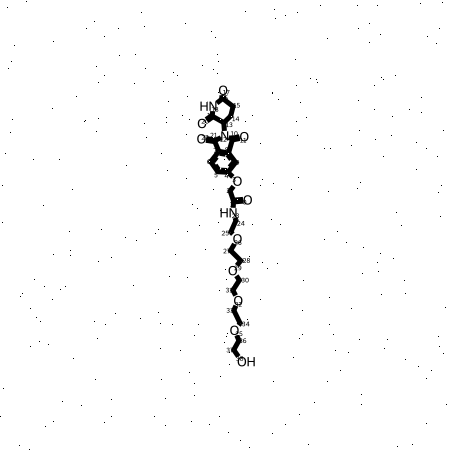 O=C(COc1ccc2c(c1)C(=O)N(C1CCC(=O)NC1=O)C2=O)NCCOCCOCCOCCOCCO